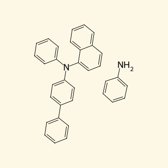 Nc1ccccc1.c1ccc(-c2ccc(N(c3ccccc3)c3cccc4ccccc34)cc2)cc1